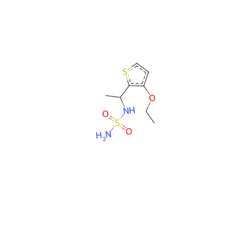 CCOc1ccsc1C(C)NS(N)(=O)=O